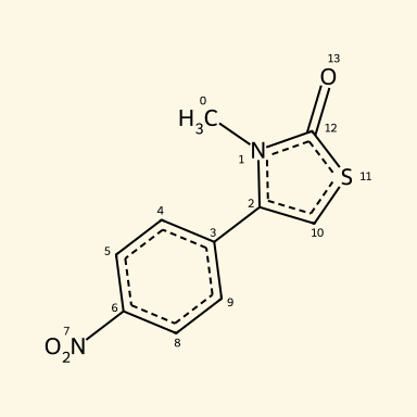 Cn1c(-c2ccc([N+](=O)[O-])cc2)csc1=O